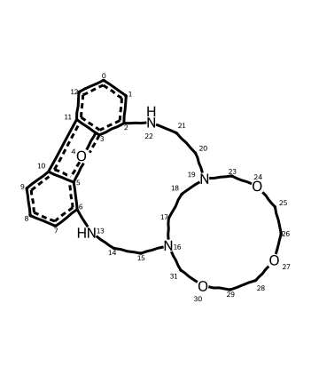 c1cc2c3oc4c(cccc4c3c1)NCCN1CCN(CCN2)COCCOCCOC1